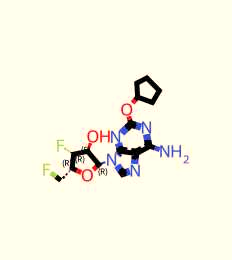 Nc1nc(OC2CCCC2)nc2c1ncn2[C@@H]1O[C@H](CF)[C@H](F)[C@H]1O